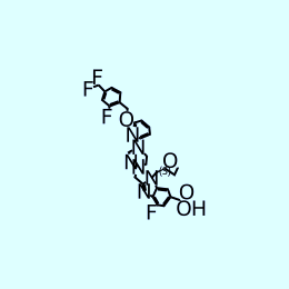 O=C(O)c1cc(F)c2nc(CN3CCN(c4cccc(OCc5ccc(C(F)F)cc5F)n4)C=N3)n(C[C@@H]3CCO3)c2c1